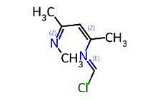 C\N=C(C)/C=C(C)\N=C\Cl